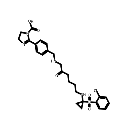 O=C(CCCCNC1(S(=O)(=O)c2ccccc2Cl)CC1)CNCc1ccc(C2=NCCN2C(=O)O)cc1